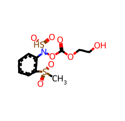 CS(=O)(=O)c1ccccc1N(OC(=O)OCCO)[SH](=O)=O